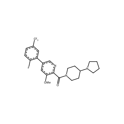 COc1cc(-c2cc(C(F)(F)F)ccc2F)cnc1C(=O)N1CCC(N2CCCC2)CC1